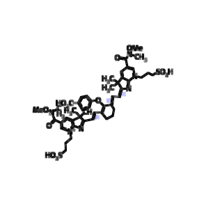 CON(C)C(=O)C1=CN(CCCS(=O)(=O)O)C2=N/C(=C/C=C3\CCCC(/C=C/C4=Nc5c(cc(C(=O)N(C)OC)c[n+]5CCCS(=O)(=O)O)C4(C)C)=C3Oc3ccc(C(=O)O)cc3)C(C)(C)C2=C1